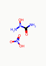 NC(=O)N(N)O.O=[N+]([O-])O